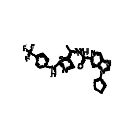 CC(NC(=O)c1cc2c(cn1)ncn2C1CCCC1)c1cnc(Nc2ccc(C(F)(F)F)cc2)s1